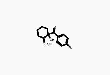 CCOC(=O)C1CCCCC1(O)C(=O)c1ccc(Cl)cc1